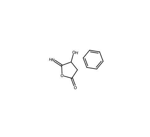 N=C1OC(=O)CC1O.c1ccccc1